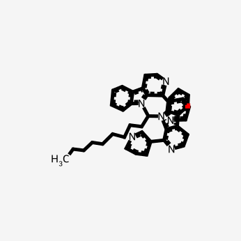 CCCCCCCCCC(n1c2ccccc2c2ccnc(-c3cccnc3)c21)n1c2ccccc2c2ccnc(-c3cccnc3)c21